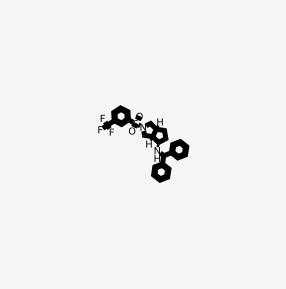 O=S(=O)(c1cccc(C(F)(F)F)c1)N1C[C@@H]2CC[C@@H](NC(c3ccccc3)c3ccccc3)[C@@H]2C1